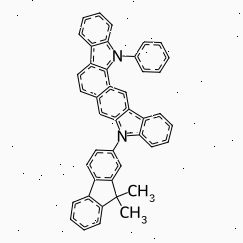 CC1(C)c2ccccc2-c2ccc(-n3c4ccccc4c4cc5c(ccc6c7ccccc7n(-c7ccccc7)c56)cc43)cc21